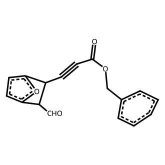 O=CC1c2ccc(o2)C1C#CC(=O)OCc1ccccc1